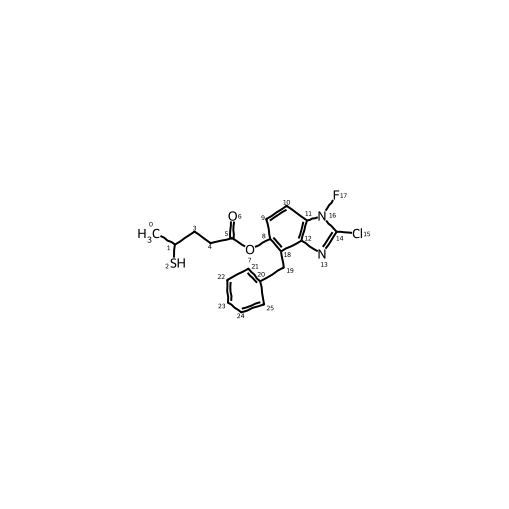 CC(S)CCC(=O)Oc1ccc2c(nc(Cl)n2F)c1Cc1ccccc1